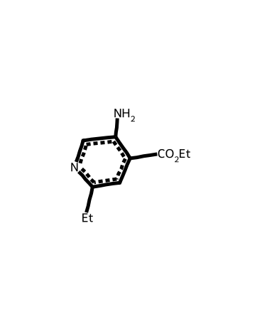 CCOC(=O)c1cc(CC)ncc1N